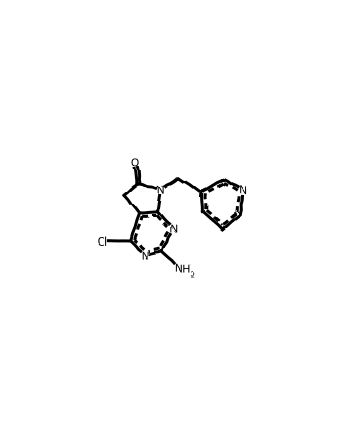 Nc1nc(Cl)c2c(n1)N(Cc1cccnc1)C(=O)C2